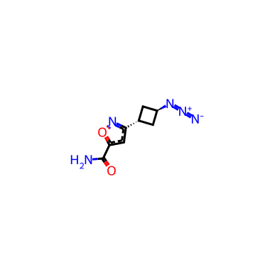 [N-]=[N+]=N[C@H]1C[C@H](c2cc(C(N)=O)on2)C1